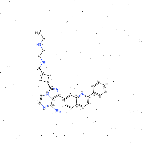 CCNCCNC[C@H]1C[C@@H](c2nc(-c3ccc4ccc(-c5ccccc5)nc4c3)c3c(N)nccn32)C1